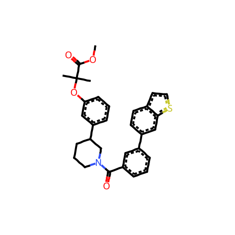 COC(=O)C(C)(C)Oc1cccc(C2CCCN(C(=O)c3cccc(-c4ccc5ccsc5c4)c3)C2)c1